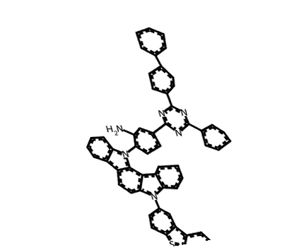 Nc1cc(-c2nc(-c3ccccc3)nc(-c3ccc(-c4ccccc4)cc3)n2)ccc1-n1c2ccccc2c2ccc3c(c4ccccc4n3-c3ccc4sc5ccccc5c4c3)c21